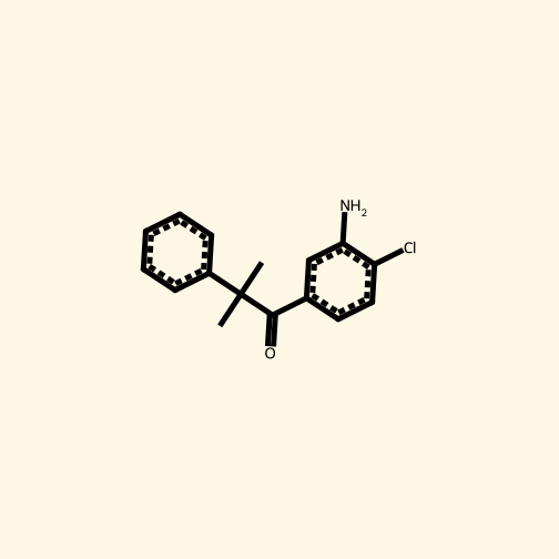 CC(C)(C(=O)c1ccc(Cl)c(N)c1)c1ccccc1